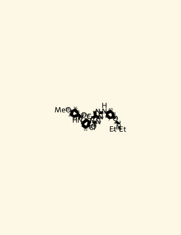 CCN(CC)CCOc1ccc(Nc2ncc3c(C)n(-c4cc(NC(=O)c5ccc(OC)cc5)ccc4Cl)c(=O)nc3n2)cc1